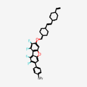 C=CC1CCC(/C=C/C2CCC(COc3cc4oc5cc(-c6ccc(CCC)cc6)c(F)c(F)c5c4c(F)c3F)CC2)CC1